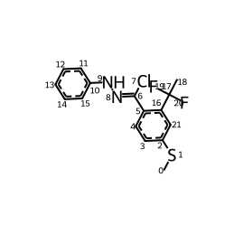 CSc1ccc(C(Cl)=NNc2ccccc2)c(C(C)(F)F)c1